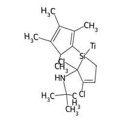 CC1=C(C)C(C)C([Si]2([Ti])CC=C(Cl)C2(Cl)NC(C)(C)C)=C1C